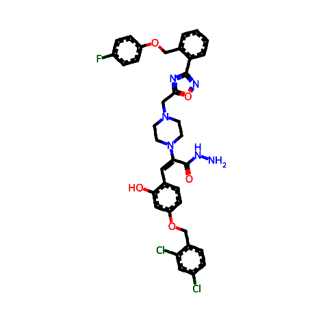 NNC(=O)C(=Cc1ccc(OCc2ccc(Cl)cc2Cl)cc1O)N1CCN(Cc2nc(-c3ccccc3COc3ccc(F)cc3)no2)CC1